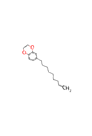 C=CCCCCCCCc1ccc2c(c1)OCCO2